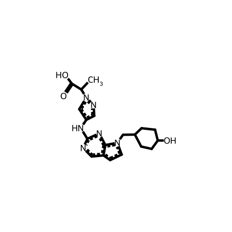 CC(C(=O)O)n1cc(Nc2ncc3ccn(CC4CCC(O)CC4)c3n2)cn1